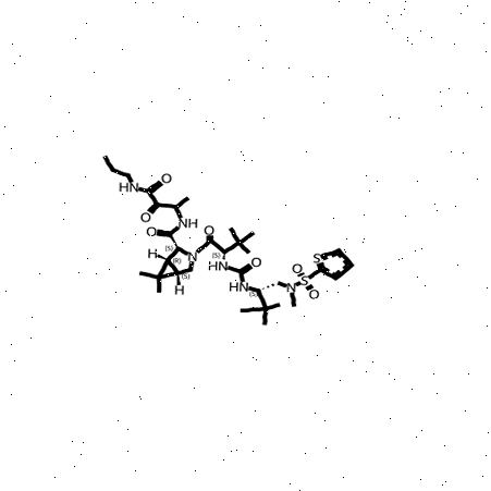 CCCNC(=O)C(=O)C(C)NC(=O)[C@@H]1[C@@H]2[C@H](CN1C(=O)[C@@H](NC(=O)N[C@H](CN(C)S(=O)(=O)c1cccs1)C(C)(C)C)C(C)(C)C)C2(C)C